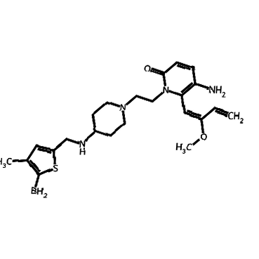 Bc1sc(CNC2CCN(CCn3c(/C=C(\C=C)OC)c(N)ccc3=O)CC2)cc1C